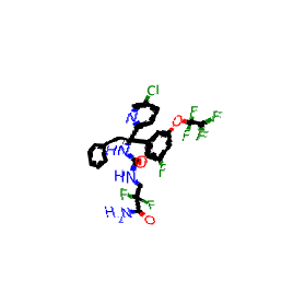 NC(=O)C(F)(F)CNC(=O)N[C@@](Cc1ccccc1)(c1cc(F)cc(OC(F)(F)C(F)F)c1)c1ccc(Cl)cn1